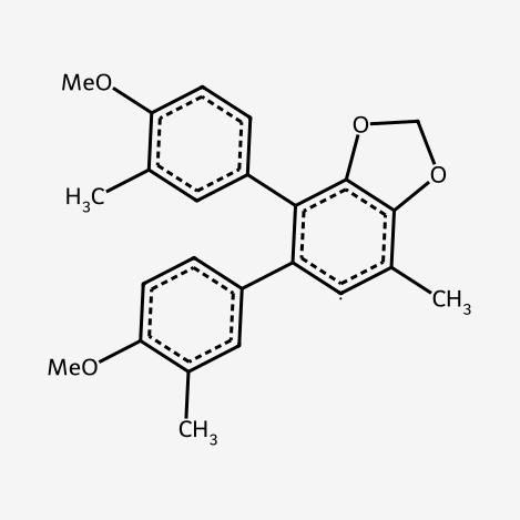 COc1ccc(-c2[c]c(C)c3c(c2-c2ccc(OC)c(C)c2)OCO3)cc1C